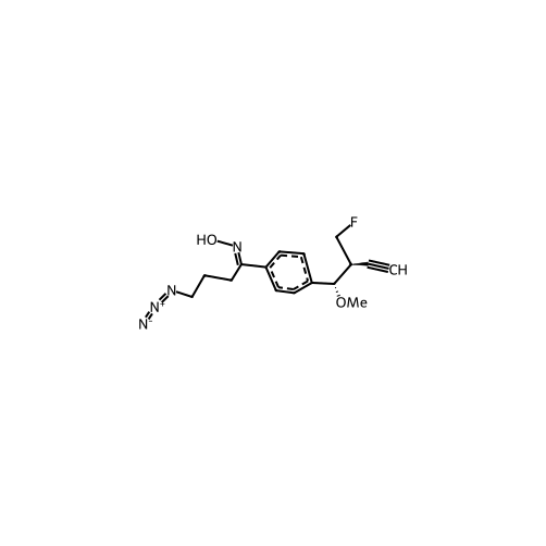 C#C[C@H](CF)[C@H](OC)c1ccc(/C(CCCN=[N+]=[N-])=N/O)cc1